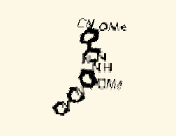 COc1cc(-c2cnc(Nc3ccc(N4CCC(N5CCCCC5)CC4)cc3OC)nc2)ccc1C#N